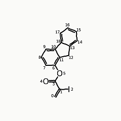 C=C(I)C(=O)Oc1cccc2c1Cc1ccccc1-2